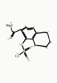 COC(=O)c1ccc2c(c1OS(=O)(=O)C(F)(F)F)CCCC2